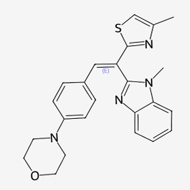 Cc1csc(/C(=C/c2ccc(N3CCOCC3)cc2)c2nc3ccccc3n2C)n1